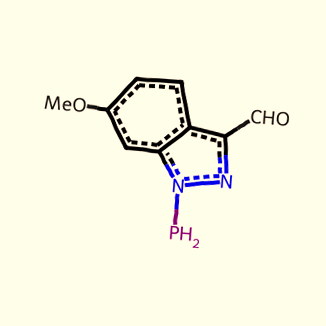 COc1ccc2c(C=O)nn(P)c2c1